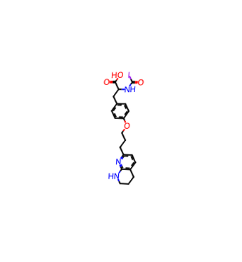 O=C(I)NC(Cc1ccc(OCCCc2ccc3c(n2)NCCC3)cc1)C(=O)O